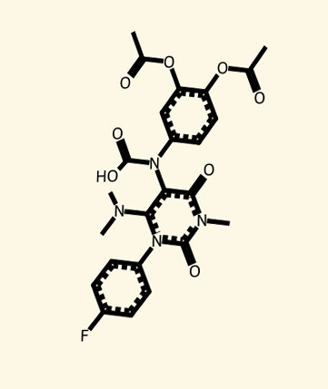 CC(=O)Oc1ccc(N(C(=O)O)c2c(N(C)C)n(-c3ccc(F)cc3)c(=O)n(C)c2=O)cc1OC(C)=O